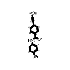 CC(C)c1ccc(NC(=O)c2ccc(C#CC(C)(C)C)cc2)cc1